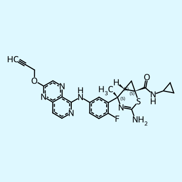 C#CCOc1cnc2c(Nc3ccc(F)c([C@@]4(C)N=C(N)S[C@@]5(C(=O)NC6CC6)C[C@H]54)c3)nccc2n1